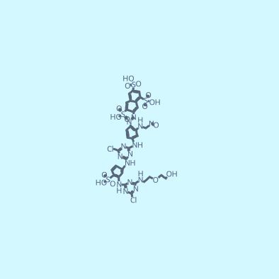 O=NCNc1cc(Nc2nc(Cl)nc(Nc3ccc(S(=O)(=O)O)c(Nc4nc(Cl)nc(NCCOCCO)n4)c3)n2)ccc1N=Nc1cc2c(S(=O)(=O)O)cc(S(=O)(=O)O)cc2cc1S(=O)(=O)O